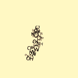 CC(O)c1cnn(-c2ncc(NC(=O)[C@@H]3CC(C)(C)c4c3cnc3cc(Cl)nn43)cc2Cl)n1